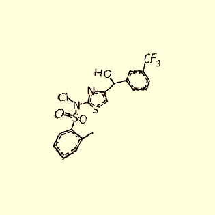 Cc1ccccc1S(=O)(=O)N(Cl)c1nc(C(O)c2cccc(C(F)(F)F)c2)cs1